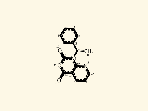 C[C@H](c1ccccc1)n1c(=O)oc(=O)c2cccnc21